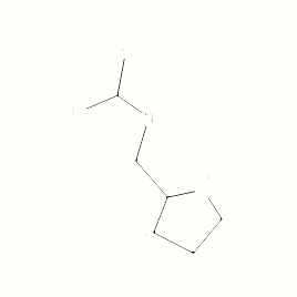 CC(S)NCC1CCCO1